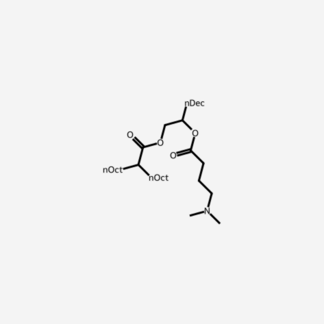 CCCCCCCCCCC(COC(=O)C(CCCCCCCC)CCCCCCCC)OC(=O)CCCN(C)C